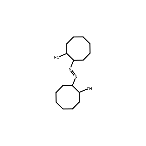 N#CC1CCCCCCC1N=NC1CCCCCCC1C#N